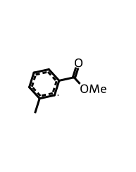 COC(=O)c1[c]c(C)ccc1